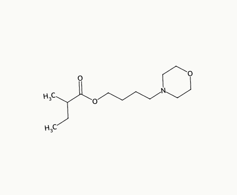 CCC(C)C(=O)OCCCCN1CCOCC1